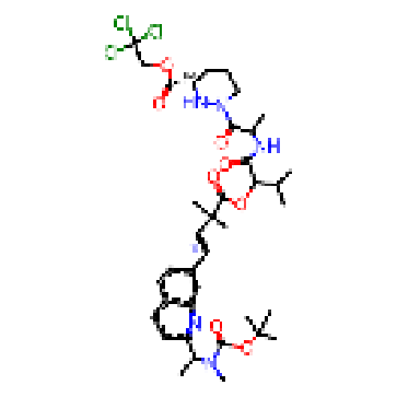 CC(NC(=O)C(OC(=O)C(C)(C)/C=C/c1ccc2ccc(C(C)N(C)C(=O)OC(C)(C)C)nc2c1)C(C)C)C(=O)N1CCC[C@@H](C(=O)OCC(Cl)(Cl)Cl)N1